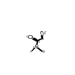 CN(C)C(=O)C=O